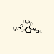 COc1ccc(OC(C)=O)cc1OC